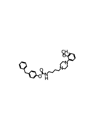 COc1ccccc1N1CCN(CCCCNC(=O)Oc2ccc(Cc3ccccc3)cc2)CC1